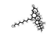 C[C@]12CCC(=O)C=C1CC(CCCCCCCCCl)[C@@H]1[C@H]2CC[C@@]2(C)[C@H]1CCC2(O)C(F)(F)C(F)(F)F